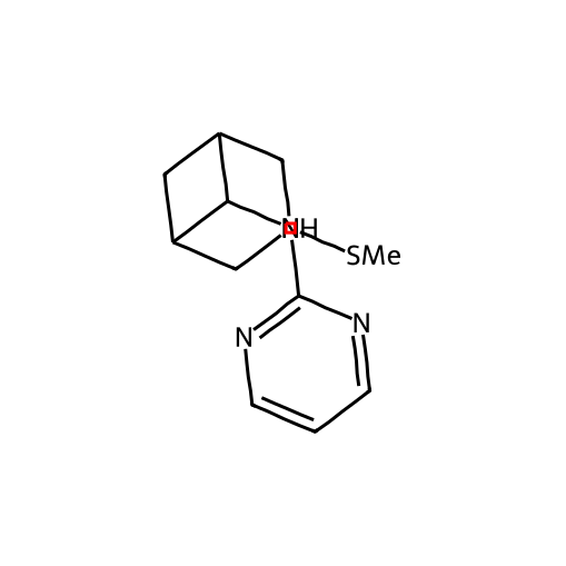 CSN1CC2CC(C1)C2Nc1ncccn1